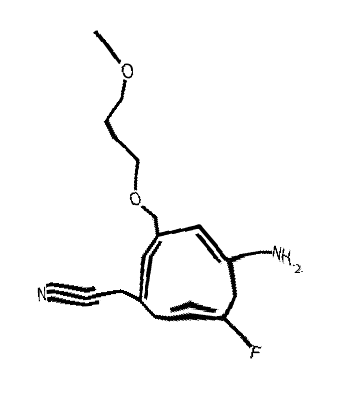 COCCOc1cc(N)c(F)cc1C#N